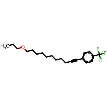 CCCOCCCCCCCCCC#Cc1ccc(C(F)(F)F)cc1